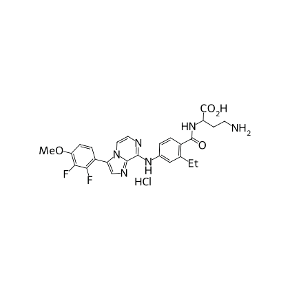 CCc1cc(Nc2nccn3c(-c4ccc(OC)c(F)c4F)cnc23)ccc1C(=O)NC(CCN)C(=O)O.Cl